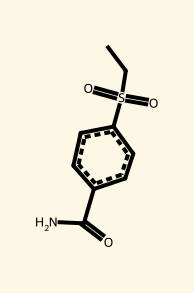 CCS(=O)(=O)c1ccc(C(N)=O)cc1